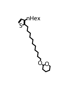 CCCCCCc1ccsc1CCCCCCCCCCCOC1CCCCO1